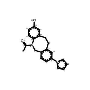 CC(=O)N1Cc2ccc(-n3cccc3)cc2CCc2cc(Cl)ccc21